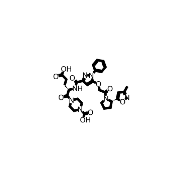 Cc1cc([C@@H]2CCCN2C(=O)COc2cc(C(=O)N[C@@H](CCC(=O)O)C(=O)N3CCN(C(=O)O)CC3)nn2-c2ccccc2)on1